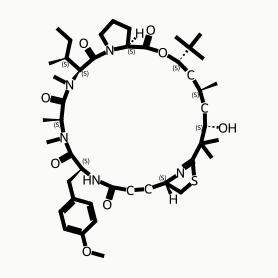 CC[C@H](C)[C@H]1C(=O)N2CCC[C@H]2C(=O)O[C@H](C(C)(C)C)C[C@@H](C)C[C@H](O)C(C)(C)C2=N[C@@H](CCC(=O)N[C@@H](Cc3ccc(OC)cc3)C(=O)N(C)[C@@H](C)C(=O)N1C)CS2